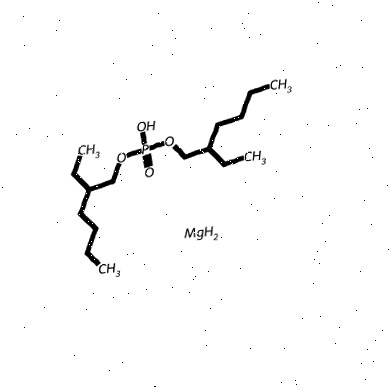 CCCCC(CC)COP(=O)(O)OCC(CC)CCCC.[MgH2]